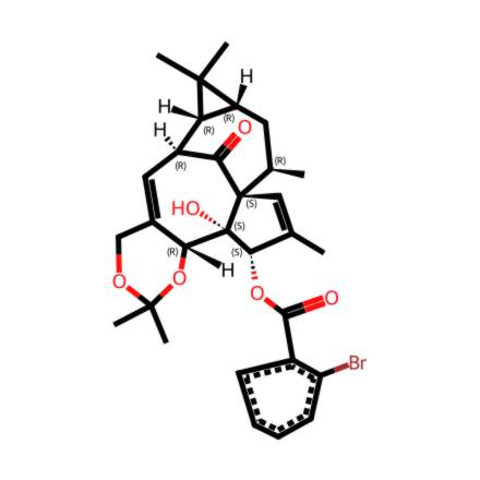 CC1=C[C@]23C(=O)[C@@H](C=C4COC(C)(C)O[C@H]4[C@]2(O)[C@H]1OC(=O)c1ccccc1Br)[C@H]1[C@@H](C[C@H]3C)C1(C)C